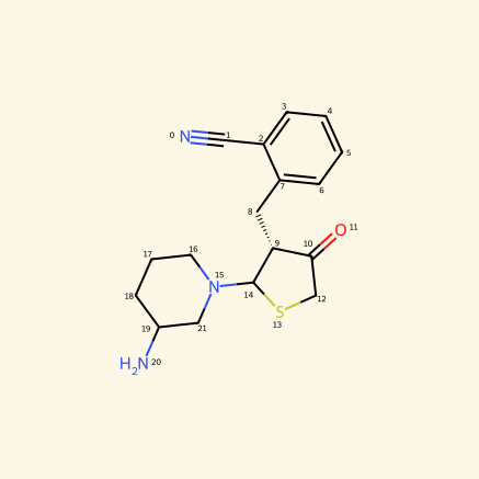 N#Cc1ccccc1C[C@@H]1C(=O)CSC1N1CCCC(N)C1